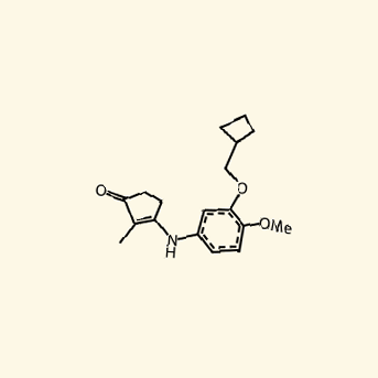 COc1ccc(NC2=C(C)C(=O)CC2)cc1OCC1CCC1